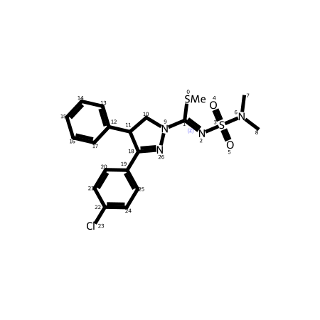 CS/C(=N\S(=O)(=O)N(C)C)N1CC(c2ccccc2)C(c2ccc(Cl)cc2)=N1